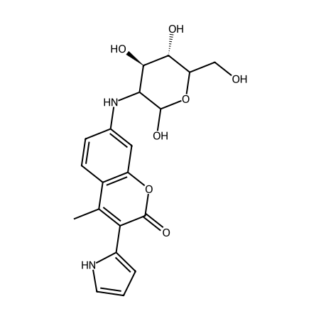 Cc1c(-c2ccc[nH]2)c(=O)oc2cc(NC3C(O)OC(CO)[C@@H](O)[C@@H]3O)ccc12